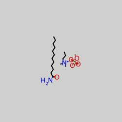 CCCCCCCCCCCC(N)=O.CCC[N+](C)(C)C.COS(=O)(=O)[O-]